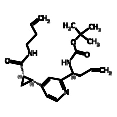 C=CCCNC(=O)[C@H]1C[C@H]1c1ccnc([C@H](CC=C)NC(=O)OC(C)(C)C)c1